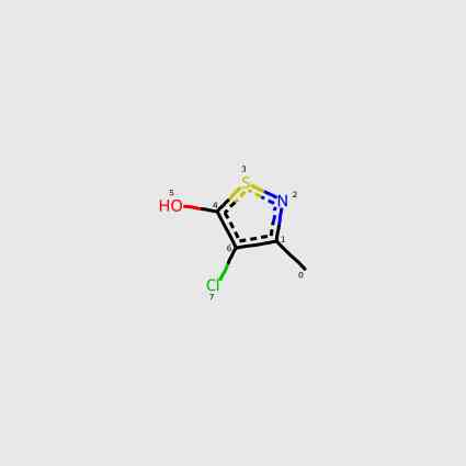 Cc1nsc(O)c1Cl